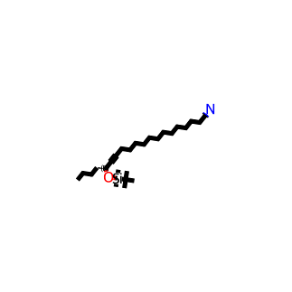 CCCC[C@H](C#CCCCCCCCCCCCCC#N)O[Si](C)(C)C(C)(C)C